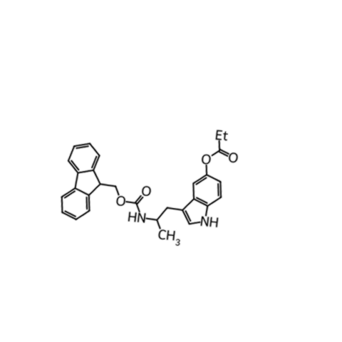 CCC(=O)Oc1ccc2[nH]cc(CC(C)NC(=O)OCC3c4ccccc4-c4ccccc43)c2c1